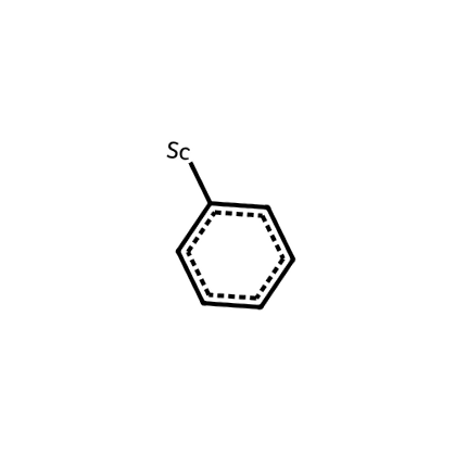 [Sc][c]1ccccc1